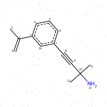 C=C(C)c1cccc(C#CC(C)(C)N)c1